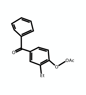 CCc1cc(C(=O)c2ccccc2)ccc1OOC(C)=O